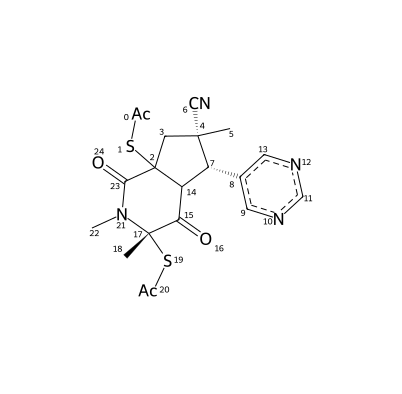 CC(=O)SC12C[C@](C)(C#N)[C@H](c3cncnc3)C1C(=O)[C@](C)(SC(C)=O)N(C)C2=O